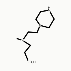 CN(CCC(=O)O)CCN1CCNCC1